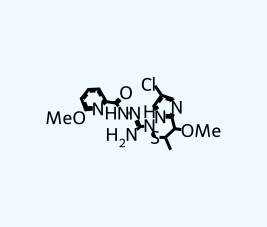 COc1cccc(C(=O)N/N=C(\N)NSC(C)C(OC)c2ncc(Cl)cn2)n1